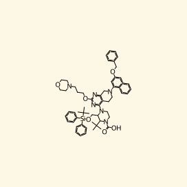 CC(C)(C)C1C(CO[Si](c2ccccc2)(c2ccccc2)C(C)(C)C)N(c2nc(OCCCN3CCOCC3)nc3c2CCN(c2cc(OCc4ccccc4)cc4ccccc24)C3)CCN1C(=O)O